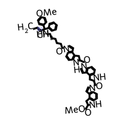 C=C/C=C(\C)C(NCCCCCC(=O)n1ccc2c3c(ccc21)NC(C(=O)n1ccc2c4c(ccc21)NC(C(=O)n1ccc2c5c(ccc21)NC(C(=O)OC)C5)C4)C3)(c1ccccc1)c1ccc(OC)cc1